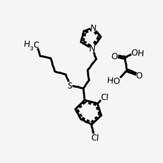 CCCCCSC(CCCn1ccnc1)c1ccc(Cl)cc1Cl.O=C(O)C(=O)O